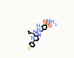 NS(=O)(=O)c1ccc(CNc2nc(C3CC3)c3nc(-c4ccc(F)cc4)ccc3n2)cc1